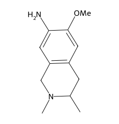 COc1cc2c(cc1N)CN(C)C(C)C2